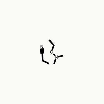 CCC#N.CCON(C)C